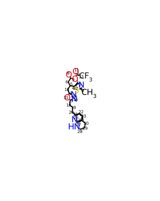 Cc1ncc(C(CC(=O)OC(=O)C(F)(F)F)Cc2nnc(CCCc3ccc4c(n3)NCCC4)o2)s1